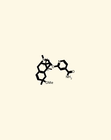 COC1(C)C=CC2=C(C1)[C@@]1(C)CCN(C)C(C2)[C@@H]1COc1cc(C(N)=O)ccn1